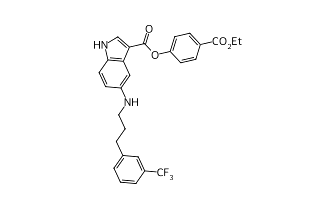 CCOC(=O)c1ccc(OC(=O)c2c[nH]c3ccc(NCCCc4cccc(C(F)(F)F)c4)cc23)cc1